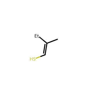 CC/C(C)=C\S